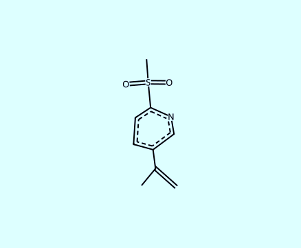 C=C(C)c1ccc(S(C)(=O)=O)nc1